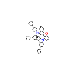 c1ccc(-c2ccc(N(c3cccc(-c4ccccc4)c3)c3cc4c(oc5cccc(-n6c7ccccc7c7cc(-c8ccccc8)ccc76)c54)c4ccccc34)cc2)cc1